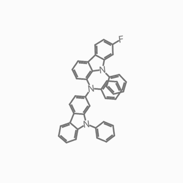 Fc1ccc2c3cccc(N(c4ccccc4)c4ccc5c6ccccc6n(-c6ccccc6)c5c4)c3n(-c3ccccc3)c2c1